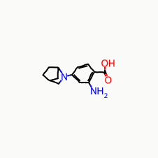 Nc1cc(N2CC3CCC2C3)ccc1C(=O)O